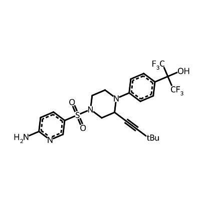 CC(C)(C)C#CC1CN(S(=O)(=O)c2ccc(N)nc2)CCN1c1ccc(C(O)(C(F)(F)F)C(F)(F)F)cc1